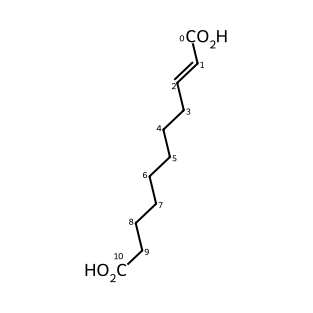 O=C(O)C=CCCCCCCCC(=O)O